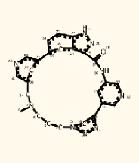 CN1CCCn2cc(nn2)-c2cncc(c2)NC(=O)c2n[nH]c3ccc(cc23)-c2cncc(c2)C1